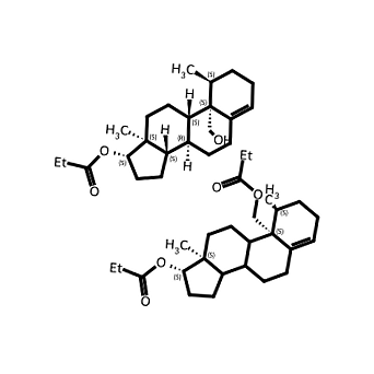 CCC(=O)OC[C@@]12C(=CCC[C@@H]1C)CCC1C3CC[C@H](OC(=O)CC)[C@@]3(C)CCC12.CCC(=O)O[C@H]1CC[C@H]2[C@@H]3CCC4=CCC[C@H](C)[C@]4(CO)[C@H]3CC[C@]12C